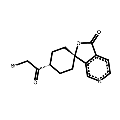 O=C1O[C@]2(CC[C@@H](C(=O)CBr)CC2)c2cnccc21